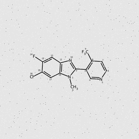 Cn1c(-c2cnccc2C(F)(F)F)nc2cc(F)c(Cl)cc21